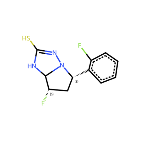 Fc1ccccc1[C@@H]1C[C@H](F)C2NC(S)=NN21